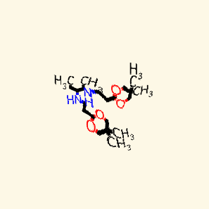 CCC(NCCC1OCC(C)(C)CO1)C(C)NCCC1OCC(C)(C)CO1